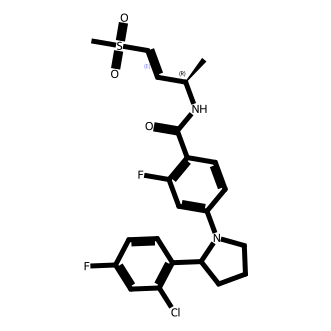 C[C@H](/C=C/S(C)(=O)=O)NC(=O)c1ccc(N2CCCC2c2ccc(F)cc2Cl)cc1F